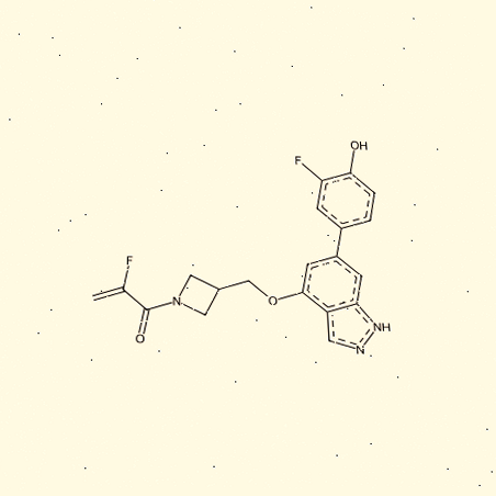 C=C(F)C(=O)N1CC(COc2cc(-c3ccc(O)c(F)c3)cc3[nH]ncc23)C1